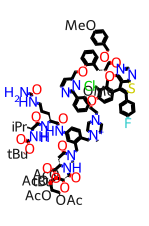 COc1ccc(COC(=O)[C@@H](Cc2ccccc2OCc2ccnc(-c3ccccc3OC)n2)Oc2ncnc3sc(-c4ccc(F)cc4)c(-c4ccc(OCCN5CC[N+](C)(Cc6ccc(NC(=O)[C@H](CCCNC(N)=O)NC(=O)[C@@H](NC(=O)OC(C)(C)C)C(C)C)cc6CN(C)C(=O)C[C@H](NC(=O)[C@@H]6O[C@H](OC(C)=O)[C@@H](OC(C)=O)[C@H](OC(C)=O)[C@H]6OC(C)=O)C(=O)OC(C)(C)C)CC5)c(Cl)c4C)c23)cc1